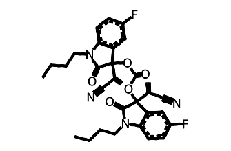 C=C(C#N)C1(OC(=O)OC2(C(=C)C#N)C(=O)N(CCCC)c3ccc(F)cc32)C(=O)N(CCCC)c2ccc(F)cc21